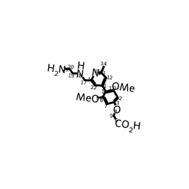 COc1cc(OCC(=O)O)cc(OC)c1-c1cc(C)nc(CNCCN)c1